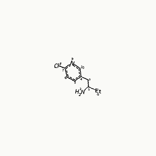 CCC(N)Cc1ccc(Cl)nc1